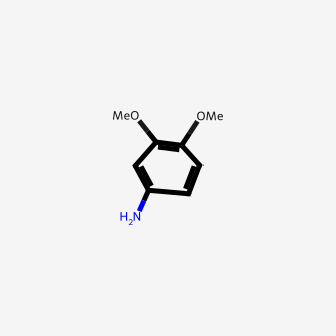 COc1[c]cc(N)cc1OC